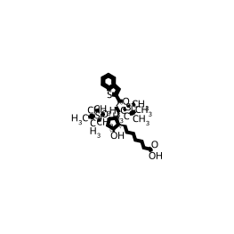 CC(C)(C)[Si](C)(C)OC1C[C@H](O)[C@H](CCCCCCC(=O)O)[C@H]1CC[C@@H](O[Si](C)(C)C(C)(C)C)c1cc2ccccc2s1